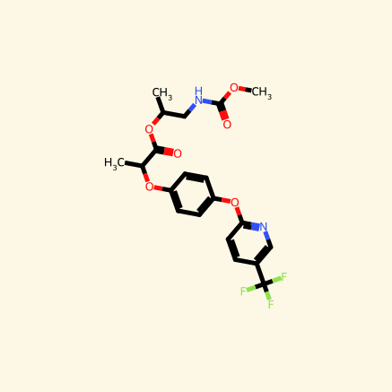 COC(=O)NCC(C)OC(=O)C(C)Oc1ccc(Oc2ccc(C(F)(F)F)cn2)cc1